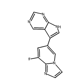 Fc1cc(-c2c[nH]c3ncncc23)cn2ccnc12